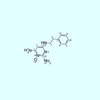 Nc1cc(NCCc2ccccc2)nc(N)[n+]1[O-]